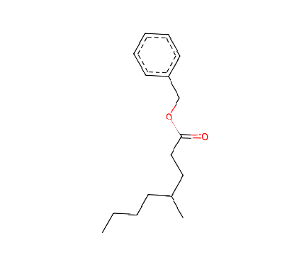 CCCCC(C)CCC(=O)OCc1ccccc1